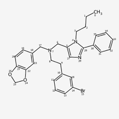 CCCCn1c(CN(CCc2cccc(Br)c2)Cc2ccc3c(c2)OCO3)cnc1-c1ccccc1